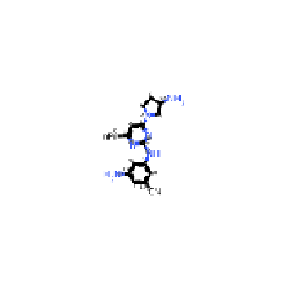 CCCc1cc(N2CCC(N)C2)nc(Nc2cc(N)cc(C#N)c2)n1